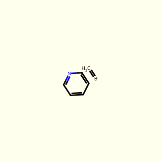 [B]=C.c1ccncc1